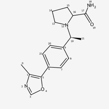 Cc1ncoc1-c1ccc([C@H](C)N2CCCC2C(N)=O)cc1